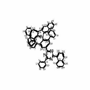 c1ccc(-c2cccc(-c3cc(-c4nc(-c5ccccc5)nc(-c5cccc6ccccc56)n4)cc(-c4ccccc4)c3-n3c4cc5ccccc5cc4c4ccc5ccccc5c43)c2)cc1